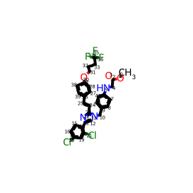 COC(=O)CNc1ccc(Cn2cc(-c3ccc(Cl)cc3Cl)nc2/C=C/c2ccc(OCCCC(F)(F)F)cc2)cc1